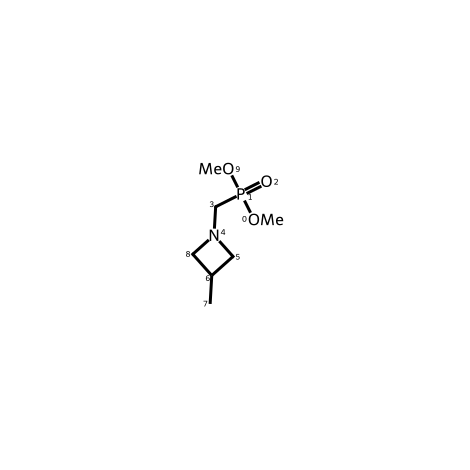 COP(=O)(CN1CC(C)C1)OC